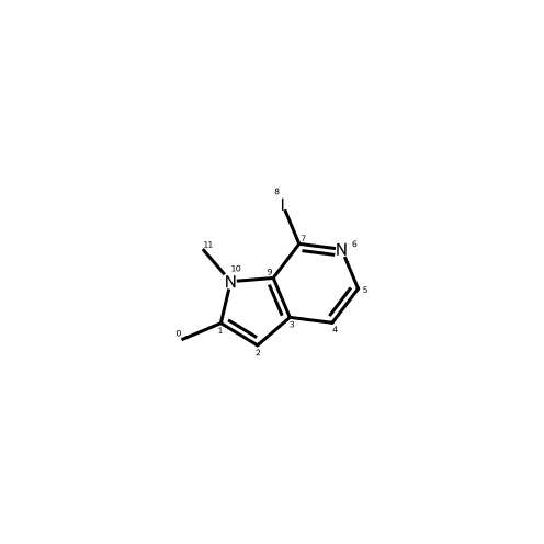 Cc1cc2ccnc(I)c2n1C